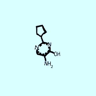 Nc1cnc(C2CCCC2)nc1O